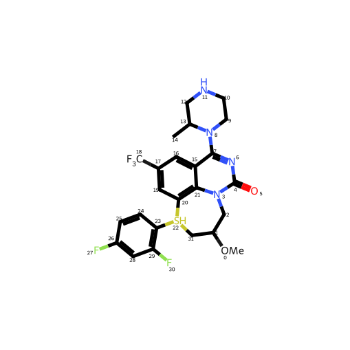 COC1Cn2c(=O)nc(N3CCNCC3C)c3cc(C(F)(F)F)cc(c32)[SH](c2ccc(F)cc2F)C1